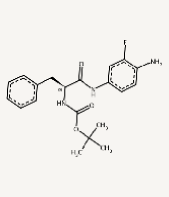 CC(C)(C)OC(=O)N[C@@H](Cc1ccccc1)C(=O)Nc1ccc(N)c(F)c1